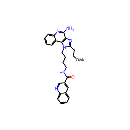 COCCc1nc2c(N)nc3ccccc3c2n1CCCCNC(=O)c1cnc2ccccc2c1